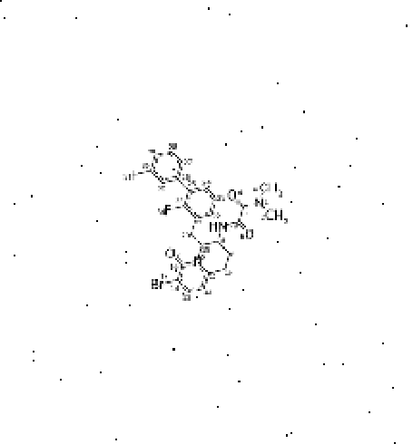 CN(C)C(=O)C(=O)NC1CCc2ccc(Br)c(=O)n2C1Cc1cccc(-c2cccc(F)c2)c1F